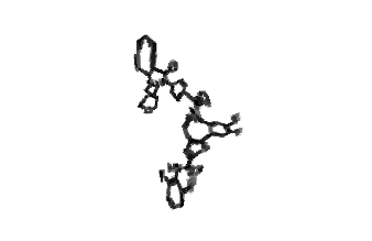 O=C(Nc1c(F)cccc1F)c1cc2c(s1)-c1cc(F)c(F)cc1N(C(=O)c1ccc(NC(=O)c3cccnc3N3CC4(CCOCC4)C3)cc1)CC2